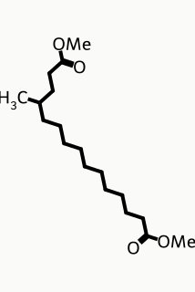 COC(=O)CCCCCCCCCCC(C)CCC(=O)OC